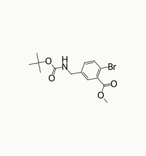 COC(=O)c1cc(CNC(=O)OC(C)(C)C)ccc1Br